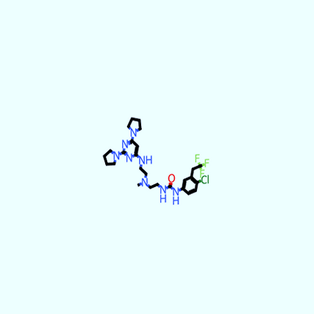 CN(CCNC(=O)Nc1ccc(Cl)c(CC(F)(F)F)c1)CCNc1cc(N2CCCC2)nc(N2CCCC2)n1